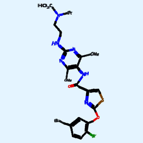 COc1nc(NCCN(C(=O)O)C(C)C)nc(OC)c1NC(=O)c1csc(Oc2cc(C(C)(C)C)ccc2Br)n1